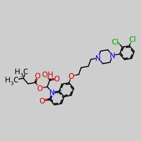 CC(C)CC(=O)OC(C(=O)O)n1c(=O)ccc2ccc(OCCCCN3CCN(c4cccc(Cl)c4Cl)CC3)cc21